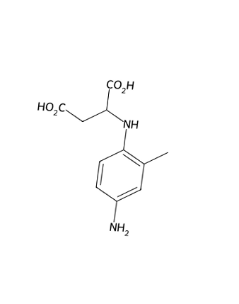 Cc1cc(N)ccc1NC(CC(=O)O)C(=O)O